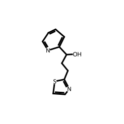 OC(CCc1nccs1)c1ccccn1